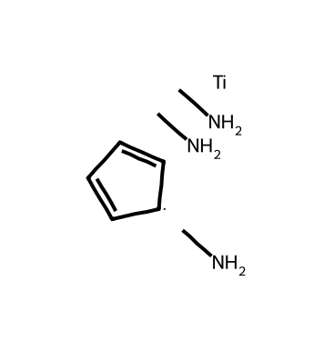 CN.CN.CN.[CH]1C=CC=C1.[Ti]